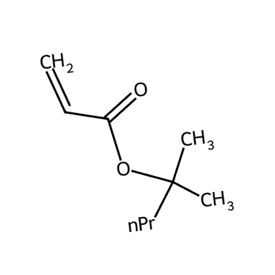 C=CC(=O)OC(C)(C)CCC